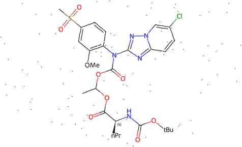 CCC[C@H](NC(=O)OC(C)(C)C)C(=O)OC(C)OC(=O)N(c1nc2ccc(Cl)cn2n1)c1ccc(S(C)(=O)=O)cc1OC